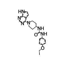 CCOc1ccc(NC(=O)NC2CCN(c3ncnc4[nH]ccc34)CC2)cc1